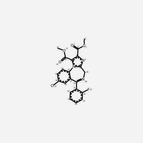 COC(=O)c1nc2n(c1C(=O)OC)-c1ccc(Cl)cc1C(c1ccccc1F)=NC2